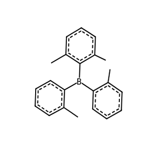 Cc1ccccc1B(c1ccccc1C)c1c(C)cccc1C